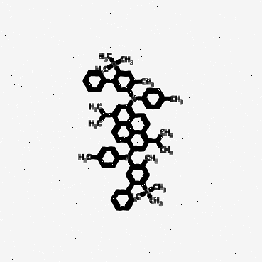 Cc1ccc(N(c2cc(-c3ccccc3)c([Si](C)(C)C)cc2C)c2cc(C(C)C)c3ccc4c(N(c5ccc(C)cc5)c5cc(-c6ccccc6)c([Si](C)(C)C)cc5C)cc(C(C)C)c5ccc2c3c54)cc1